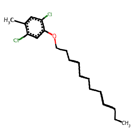 CCCCCCCCCCCCOc1cc(Cl)c(C)cc1Cl